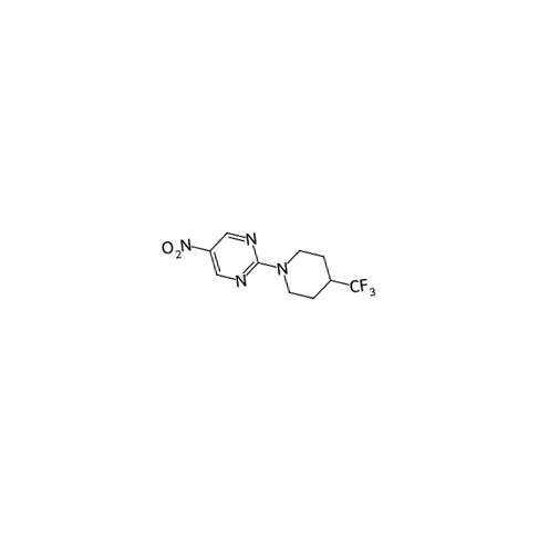 O=[N+]([O-])c1cnc(N2CCC(C(F)(F)F)CC2)nc1